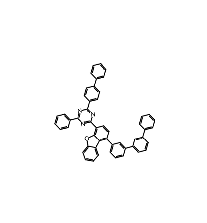 c1ccc(-c2ccc(-c3nc(-c4ccccc4)nc(-c4ccc(-c5cccc(-c6cccc(-c7ccccc7)c6)c5)c5c4oc4ccccc45)n3)cc2)cc1